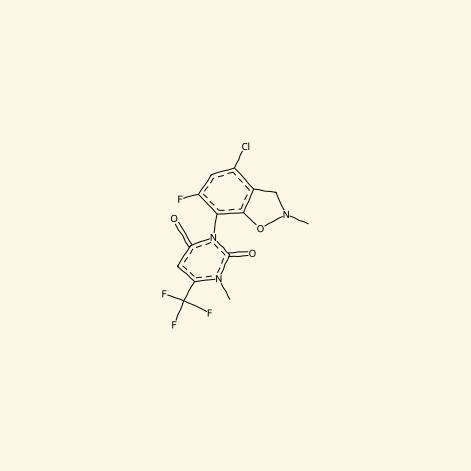 CN1Cc2c(Cl)cc(F)c(-n3c(=O)cc(C(F)(F)F)n(C)c3=O)c2O1